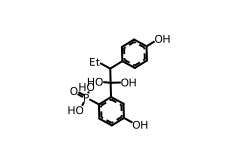 CCC(c1ccc(O)cc1)C(O)(O)c1cc(O)ccc1P(=O)(O)O